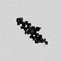 NS(=O)(=O)c1ccc(NCC2CCN(C3COC3)CC2)c([N+](=O)[O-])c1